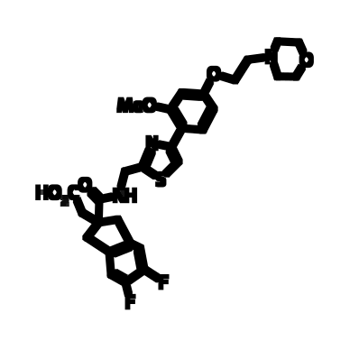 COc1cc(OCCN2CCOCC2)ccc1-c1csc(CNC(=O)C2(CC(=O)O)Cc3cc(F)c(F)cc3C2)n1